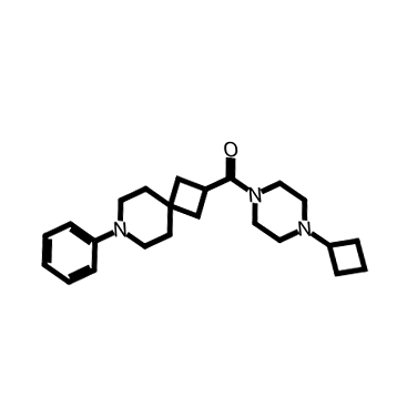 O=C(C1CC2(CCN(c3ccccc3)CC2)C1)N1CCN(C2CCC2)CC1